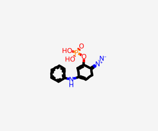 [N-]=[N+]=C1CC=C(Nc2ccccc2)C=C1OP(=O)(O)O